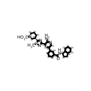 Cn1nc(-c2nc(-c3cccc(C(=O)N[C@H]4CCc5ccccc54)c3)cnc2N)nc1[C@@H]1CCCN(C(=O)O)C1